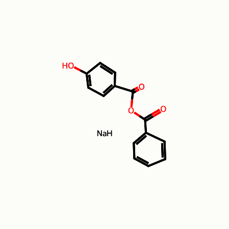 O=C(OC(=O)c1ccc(O)cc1)c1ccccc1.[NaH]